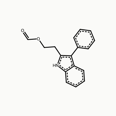 O=COCCc1[nH]c2ccccc2c1-c1ccccc1